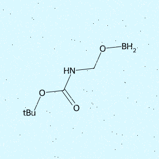 BOCNC(=O)OC(C)(C)C